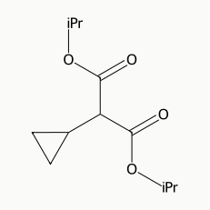 CC(C)OC(=O)C(C(=O)OC(C)C)C1CC1